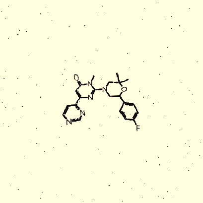 Cn1c(N2CC(c3ccc(F)cc3)OC(C)(C)C2)nc(-c2ccncn2)cc1=O